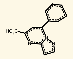 O=C(O)c1cc(-c2ccccc2)n2nccc2n1